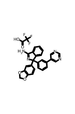 NC1=NC(c2cccc(-c3cncnc3)c2)(c2ccc3c(c2)OCO3)c2ccccc21.O=C(O)C(F)(F)F